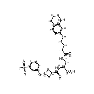 CS(=O)(=O)c1cccc(SN2CC(C(=O)NC(CNC(=O)CCCCc3ccc4c(n3)NCCC4)C(=O)O)C2)c1